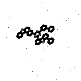 c1ccc(-c2cccc(-c3nc(-c4ccc5c(ccc6oc7ccccc7c65)c4)nc(-c4cccc5oc6c(-c7ccccc7)cccc6c45)n3)c2)cc1